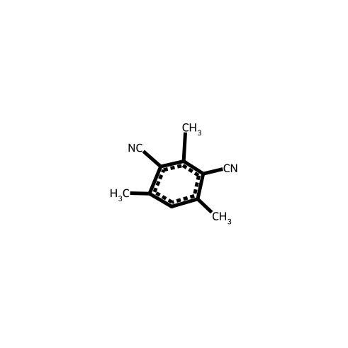 Cc1cc(C)c(C#N)c(C)c1C#N